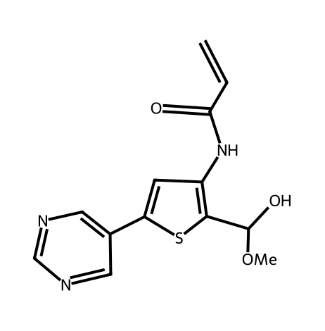 C=CC(=O)Nc1cc(-c2cncnc2)sc1C(O)OC